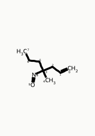 C=CCC(C)(CCC)N=O